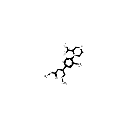 COCC(CC(=O)OC)c1ccc(N2CCOCC2C(C)C)c(N)c1